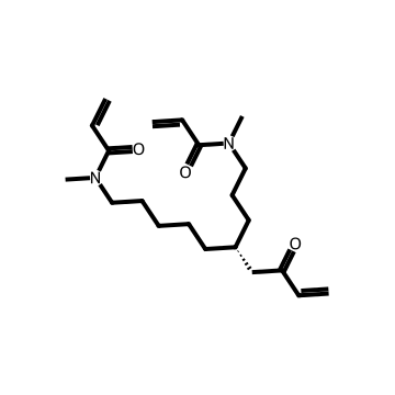 C=CC(=O)C[C@H](CCCCCN(C)C(=O)C=C)CCCN(C)C(=O)C=C